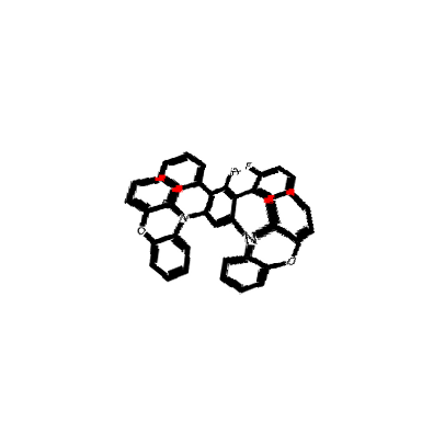 CC(C)c1c(-c2ccccc2F)c(N2c3ccccc3Oc3ccccc32)cc(N2c3ccccc3Oc3ccccc32)c1-c1ccccc1F